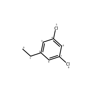 C[CH]c1cc(Cl)cc(Cl)c1